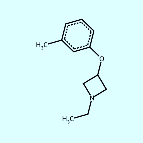 CCN1CC(Oc2cccc(C)c2)C1